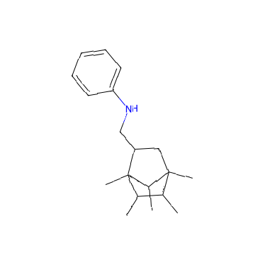 CC1C(C)C2(C)C(CNc3ccccc3)CC1(C)C2C